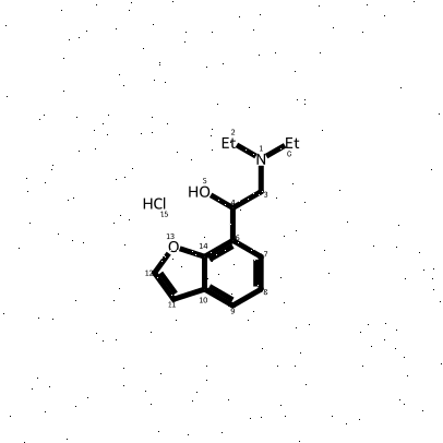 CCN(CC)CC(O)c1cccc2ccoc12.Cl